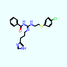 O=C(NC(=NCCCc1c[nH]cn1)NCCSc1ccc(Cl)cc1)c1ccccc1